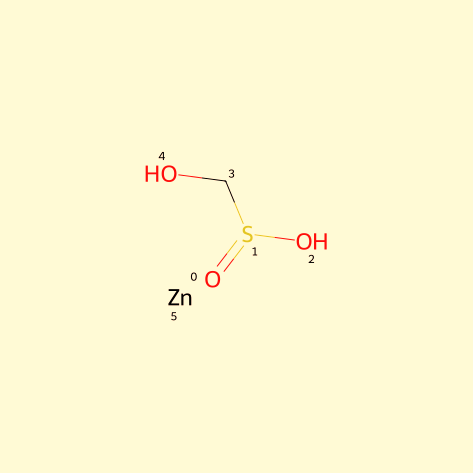 O=S(O)CO.[Zn]